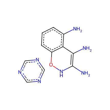 NC1=C(N)c2c(N)cccc2ON1.c1ncncn1